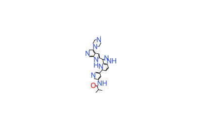 CC(C)C(=O)Nc1cncc(-c2ccc3[nH]nc(-c4cc5c(N6CCN(C)CC6)cncc5[nH]4)c3n2)c1